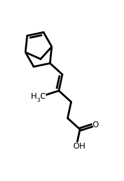 C/C(=C\C1CC2C=CC1C2)CCC(=O)O